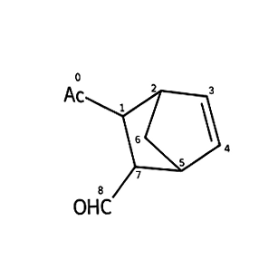 CC(=O)C1C2C=CC(C2)C1C=O